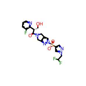 O=C([C@@H](CO)c1ncccc1F)N1Cc2cn(S(=O)(=O)c3cnn(CC(F)F)c3)nc2C1